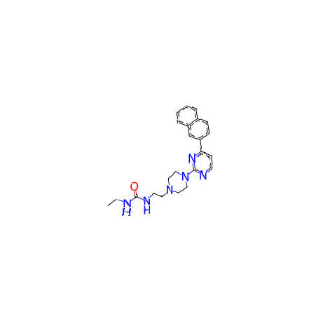 CCNC(=O)NCCN1CCN(c2nccc(-c3ccc4ccccc4c3)n2)CC1